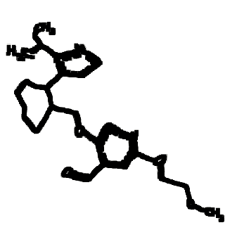 COCCOc1cc(C=O)c(OCC2CCCCC2c2ccnn2C(C)C)cn1